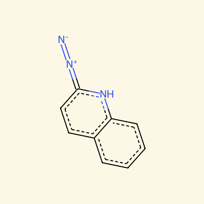 [N-]=[N+]=c1ccc2ccccc2[nH]1